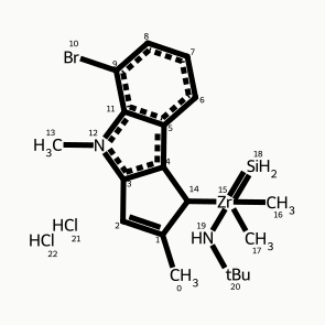 CC1=Cc2c(c3cccc(Br)c3n2C)[CH]1[Zr]([CH3])([CH3])(=[SiH2])[NH]C(C)(C)C.Cl.Cl